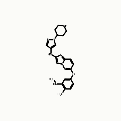 CNc1cc(Oc2ccc3nc(Nc4cnn(C5CCNCC5)c4)cn3n2)ccc1C